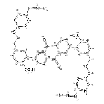 [N-]=[N+]=Nc1ccc(SCCc2ccc(C(=O)O)c(-c3ccc4c(c3)C(=O)c3ccc(-c5cc(CCSc6ccc(N=[N+]=[N-])nc6)ccc5C(=O)O)cc3C4=O)c2)cn1